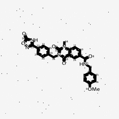 COc1ccc(CNC(=O)c2ccc3c(c2)c(=O)n(Cc2ccc(-c4noc(=O)[nH]4)cc2)c(=O)n3C)cc1